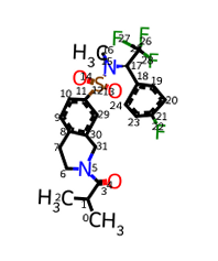 CC(C)C(=O)N1CCc2ccc(S(=O)(=O)N(C)[C@H](c3ccc(F)cc3)C(F)(F)F)cc2C1